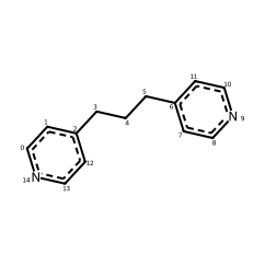 c1cc(CCCc2ccncc2)ccn1